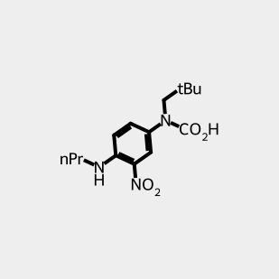 CCCNc1ccc(N(CC(C)(C)C)C(=O)O)cc1[N+](=O)[O-]